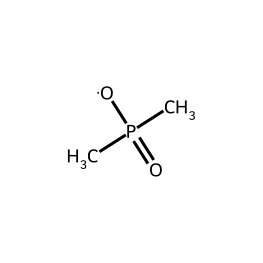 CP(C)([O])=O